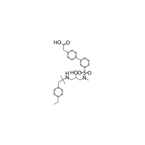 CCc1ccc(CC(C)(C)NCC(O)CN(C)S(=O)(=O)c2cccc(-c3ccc(CC(=O)O)cc3)c2)cc1